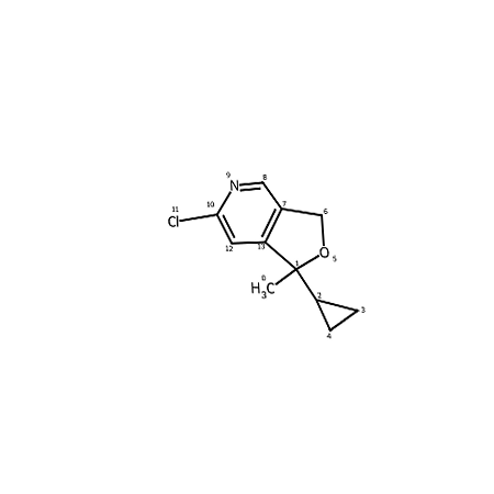 CC1(C2CC2)OCc2cnc(Cl)cc21